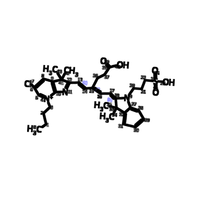 CCCC[n+]1cc(Cl)cc2c1N=C(/C=C/C(=C/C=C1/N(CCCS(=O)(=O)O)c3ccccc3C1(C)C)CCC(=O)O)C2(C)C